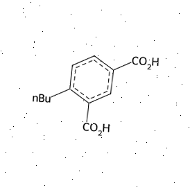 CCCCc1ccc(C(=O)O)cc1C(=O)O